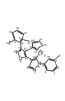 Cc1cccc(-n2ncc(-c3onc(-c4c(C)cccc4F)c3-c3ccsc3)c2C(F)(F)F)c1